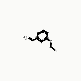 C=Cc1cccc(OCF)c1